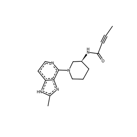 CC#CC(=O)N[C@H]1CCCN(c2nccc3[nH]c(C)nc23)C1